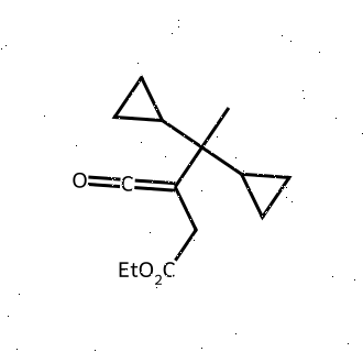 CCOC(=O)CC(=C=O)C(C)(C1CC1)C1CC1